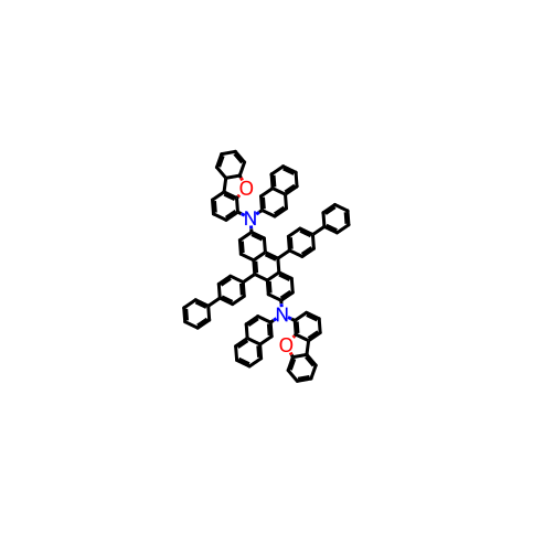 C1=CC2Oc3c(cccc3N(c3ccc4ccccc4c3)c3ccc4c(-c5ccc(-c6ccccc6)cc5)c5cc(N(c6ccc7ccccc7c6)c6cccc7c6oc6ccccc67)ccc5c(-c5ccc(-c6ccccc6)cc5)c4c3)C2C=C1